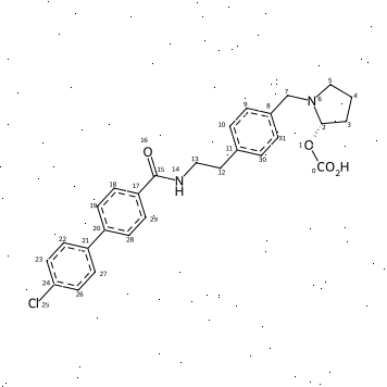 O=C(O)O[C@H]1CCCN1Cc1ccc(CCNC(=O)c2ccc(-c3ccc(Cl)cc3)cc2)cc1